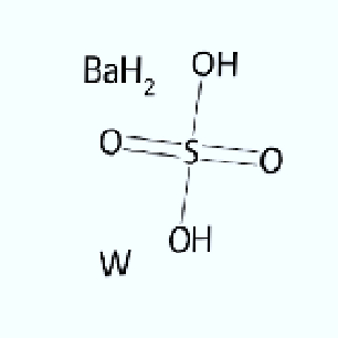 O=S(=O)(O)O.[BaH2].[W]